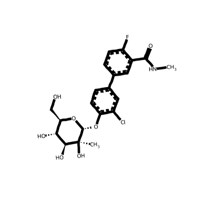 CNC(=O)c1cc(-c2ccc(O[C@H]3O[C@H](CO)[C@@H](O)[C@H](O)[C@]3(C)O)c(Cl)c2)ccc1F